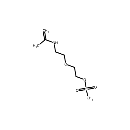 C=C(C)NCCOCCOS(C)(=O)=O